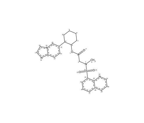 CN(CC(=O)OC1CCCCC1c1ccc2nccn2c1)S(=O)(=O)c1cccc2cccnc12